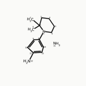 CC1(C)CCCCN1c1ccc(N)cc1.N